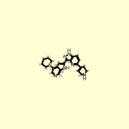 C1=C(c2ccc3[nH]nc(-c4cc5c(N6CCCCC6)cncc5[nH]4)c3n2)CCNC1